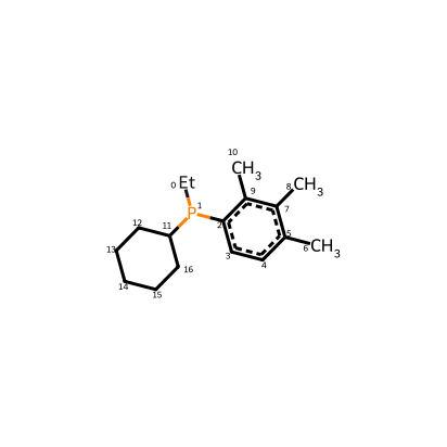 CCP(c1ccc(C)c(C)c1C)C1CCCCC1